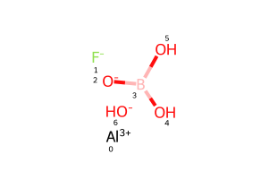 [Al+3].[F-].[O-]B(O)O.[OH-]